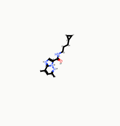 Cc1cc(C)c2ncc(C(=O)NCCCC3CC3)n2n1